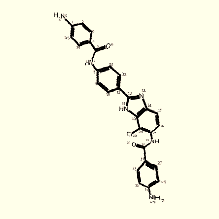 Nc1ccc(C(=O)Nc2ccc(-c3nc4ccc(NC(=O)c5ccc(N)cc5)c(Cl)c4[nH]3)cc2)cc1